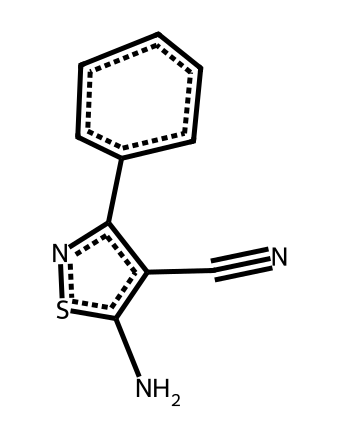 N#Cc1c(-c2ccccc2)nsc1N